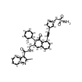 Cc1nn2cccnc2c1C(=O)N[C@H](C)c1cc2cccc(C#Cc3cnn(CS(N)(=O)=O)c3)c2c(=O)n1-c1ccccc1